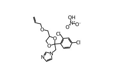 C=CCOCC1COC(Cn2ccnc2)(c2ccc(Cl)cc2Cl)O1.O=[N+]([O-])O